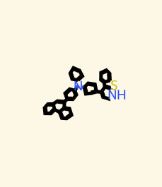 C1=C(c2ccc(N(c3ccccc3)c3ccc(-c4cc5ccccc5c5ccccc45)cc3)cc2)c2c(sc3ccccc23)NC1